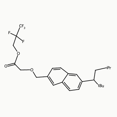 CC(C)CC(c1ccc2cc(COCC(=O)OCC(F)(F)C(F)(F)F)ccc2c1)C(C)(C)C